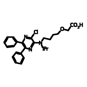 CC(C)N(CCCCOCC(=O)O)c1nc(-c2ccccc2)c(-c2ccccc2)nc1Cl